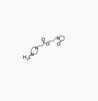 CN1CCN(CCC(=O)OCCCN2CCCC2=O)CC1